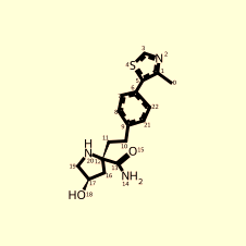 Cc1ncsc1-c1ccc(CC[C@@]2(C(N)=O)C[C@@H](O)CN2)cc1